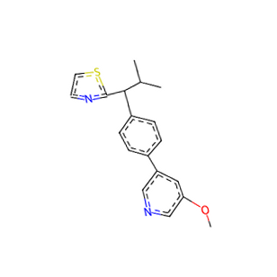 COc1cncc(-c2ccc(C(c3nccs3)C(C)C)cc2)c1